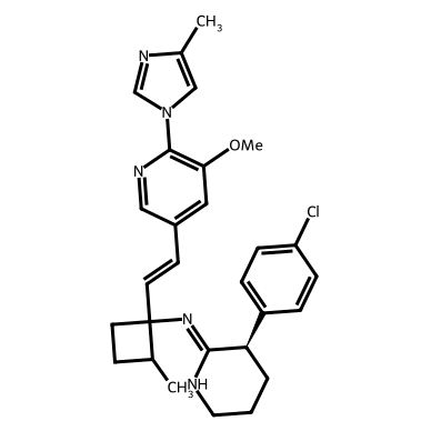 COc1cc(/C=C/C2(/N=C3\NCCC[C@@H]3c3ccc(Cl)cc3)CCC2C)cnc1-n1cnc(C)c1